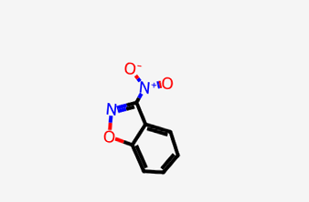 O=[N+]([O-])c1noc2ccccc12